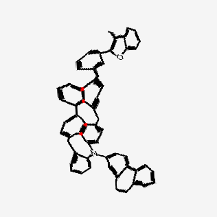 Cc1c(-c2cccc(-c3ccc(-c4ccc(N(c5ccc6c(ccc7ccccc76)c5)c5ccccc5-c5ccc(-c6ccccc6)cc5)cc4)cc3)c2)oc2ccccc12